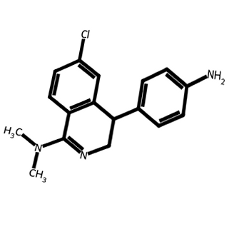 CN(C)C1=NCC(c2ccc(N)cc2)c2cc(Cl)ccc21